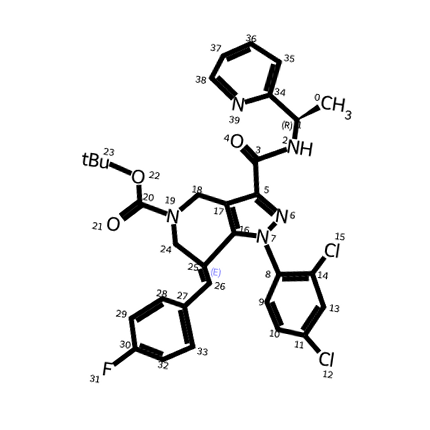 C[C@@H](NC(=O)c1nn(-c2ccc(Cl)cc2Cl)c2c1CN(C(=O)OC(C)(C)C)C/C2=C\c1ccc(F)cc1)c1ccccn1